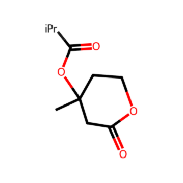 CC(C)C(=O)OC1(C)CCOC(=O)C1